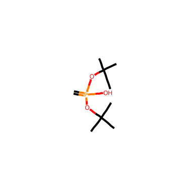 C=P(O)(OC(C)(C)C)OC(C)(C)C